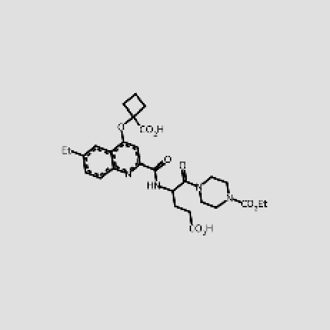 CCOC(=O)N1CCN(C(=O)C(CCC(=O)O)NC(=O)c2cc(OC3(C(=O)O)CCC3)c3cc(CC)ccc3n2)CC1